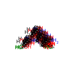 CCO.CCO.C[C@H]1c2cccc(O)c2C(=O)C2=C(O)[C@]3(O)C(=O)C(C(N)=O)=C(O)[C@@H](N(C)C)[C@@H]3[C@@H](O)[C@@H]21.C[C@H]1c2cccc(O)c2C(=O)C2=C(O)[C@]3(O)C(=O)C(C(N)=O)=C(O)[C@@H](N(C)C)[C@@H]3[C@@H](O)[C@@H]21.C[C@H]1c2cccc(O)c2C(=O)C2=C(O)[C@]3(O)C(=O)C(C(N)=O)=C(O)[C@@H](N(C)C)[C@@H]3[C@@H](O)[C@@H]21.C[C@H]1c2cccc(O)c2C(=O)C2=C(O)[C@]3(O)C(=O)C(C(N)=O)=C(O)[C@@H](N(C)C)[C@@H]3[C@@H](O)[C@@H]21.Cl.Cl.Cl.Cl.O.O